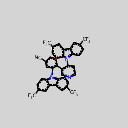 N#Cc1ccc(-c2cnccc2-n2c3ccc(C(F)(F)F)cc3c3cc(C(F)(F)F)ccc32)c(-n2c3ccc(C(F)(F)F)cc3c3cc(C(F)(F)F)ccc32)c1